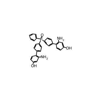 Nc1cc(O)ccc1-c1ccc(P(=O)(c2ccccc2)c2ccc(-c3ccc(O)cc3N)cc2)cc1